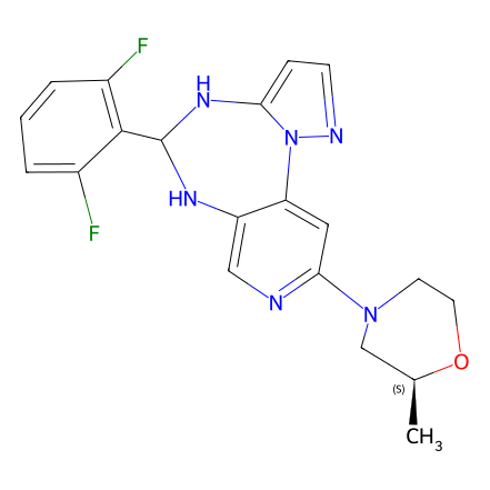 C[C@H]1CN(c2cc3c(cn2)NC(c2c(F)cccc2F)Nc2ccnn2-3)CCO1